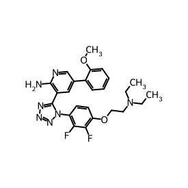 CCN(CC)CCOc1ccc(-n2nnnc2-c2cc(-c3ccccc3OC)cnc2N)c(F)c1F